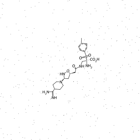 Cc1ccc(S(=O)(=O)[C@@](N)(CNC(=O)C[C@H]2C[C@@H](N3CCC(C(=N)N)CC3)NO2)C(=O)O)cc1